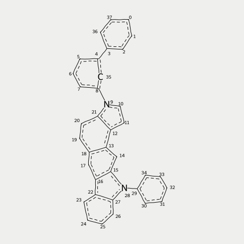 c1ccc(-c2cccc(-n3ccc4c5cc6c(cc5ccc43)c3ccccc3n6-c3ccccc3)c2)cc1